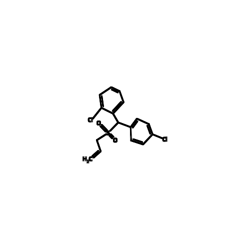 C=CCS(=O)(=O)C(c1ccc(Cl)cc1)c1ccccc1Cl